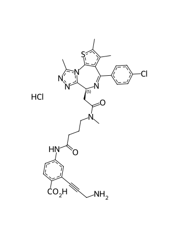 Cc1sc2c(c1C)C(c1ccc(Cl)cc1)=N[C@@H](CC(=O)N(C)CCCC(=O)Nc1ccc(C(=O)O)c(C#CCN)c1)c1nnc(C)n1-2.Cl